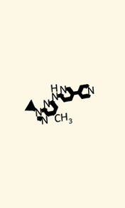 Cc1cc(Nc2ccc(-c3ccncc3)cn2)nc2c1ncn2C1CC1